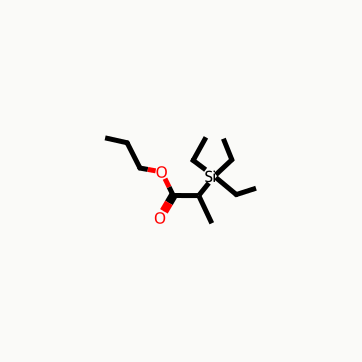 CCCOC(=O)C(C)[Si](CC)(CC)CC